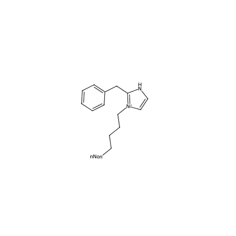 CCCCCCCCCCCCC[n+]1cc[nH]c1Cc1ccccc1